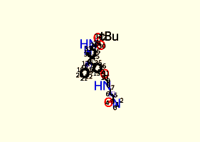 CN(C)C(=O)/C=C/CNCCOc1ccc(/C(=C\c2ccccc2)c2ccc(NC(=O)OC(C)(C)C)nc2)cc1